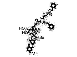 COc1ccc(Cn2c(=O)ccn([C@@H]3O[C@H](C(O)[C@H](NCCCNC(=O)[C@H](CCCCNC(=O)OCc4ccccc4)NC(=O)OCc4ccccc4)C(=O)O)[C@@H](O[Si](C)(C)C(C)(C)C)[C@H]3O[Si](C)(C)C(C)(C)C)c2=O)cc1